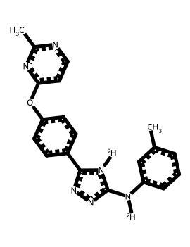 [2H]N(c1cccc(C)c1)c1nnc(-c2ccc(Oc3ccnc(C)n3)cc2)n1[2H]